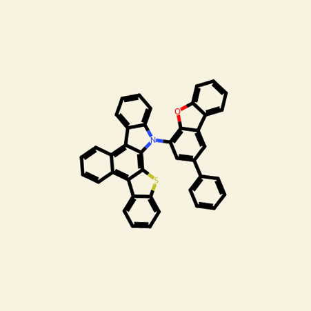 c1ccc(-c2cc(-n3c4ccccc4c4c5ccccc5c5c6ccccc6sc5c43)c3oc4ccccc4c3c2)cc1